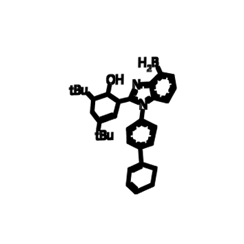 Bc1cccc2c1nc(C1C=C(C(C)(C)C)CC(C(C)(C)C)C1O)n2-c1ccc(C2=CC=CCC2)cc1